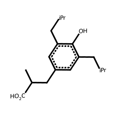 CC(C)Cc1cc(CC(C)C(=O)O)cc(CC(C)C)c1O